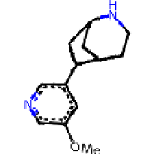 COc1cncc(C2CC3CC2CCN3)c1